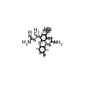 Br.Br.CC(SC(=N)N)c1cc(F)ccc1Sc1ccc(F)cc1CSC(=N)N